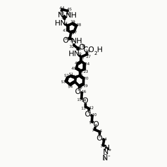 [N-]=[N+]=NCCOCCOCCOCCOCCOc1ccc(-c2ccc(C(CC(=O)O)NC(=O)CNC(=O)c3cccc(NC4=NCCN4)c3)cc2)c2ccccc12